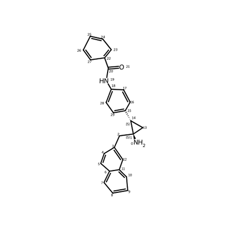 N[C@]1(Cc2ccc3ccccc3c2)C[C@H]1c1ccc(NC(=O)c2ccccc2)cc1